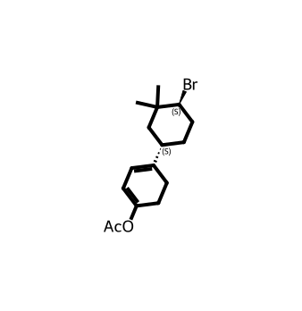 CC(=O)OC1=CC=C([C@H]2CC[C@H](Br)C(C)(C)C2)CC1